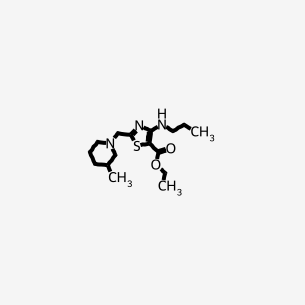 CCCNc1nc(CN2CCCC(C)C2)sc1C(=O)OCC